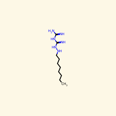 CCCCCCCCNNC(=N)NC(=N)N